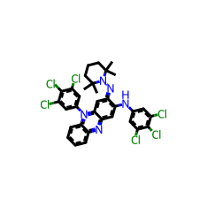 CC1(C)CCCC(C)(C)N1N=c1cc2n(-c3cc(Cl)c(Cl)c(Cl)c3)c3ccccc3nc-2cc1Nc1cc(Cl)c(Cl)c(Cl)c1